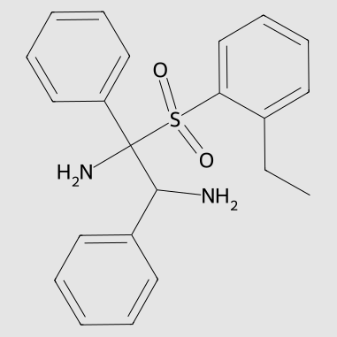 CCc1ccccc1S(=O)(=O)C(N)(c1ccccc1)C(N)c1ccccc1